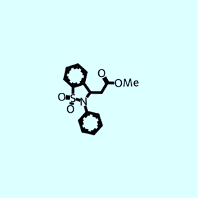 COC(=O)CC1c2ccccc2S(=O)(=O)N1c1ccccc1